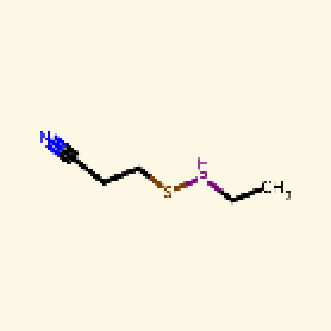 CCPSCCC#N